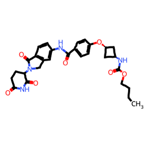 CCCCOC(=O)N[C@H]1C[C@@H](Oc2ccc(C(=O)Nc3ccc4c(c3)CN(C3CCC(=O)NC3=O)C4=O)cc2)C1